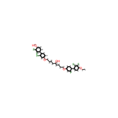 CCOc1ccc(-c2ccc(OCCCCC(O)CCCCOc3ccc(-c4ccc(O)c(F)c4F)c(F)c3)cc2F)c(F)c1F